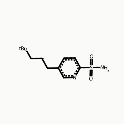 CC(C)(C)C[CH]Cc1ccc(S(N)(=O)=O)nc1